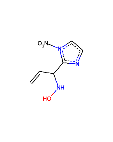 C=CC(NO)c1nccn1[N+](=O)[O-]